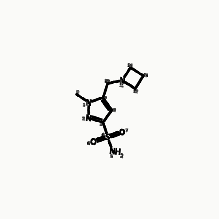 Cn1nc(S(N)(=O)=O)cc1CN1CCC1